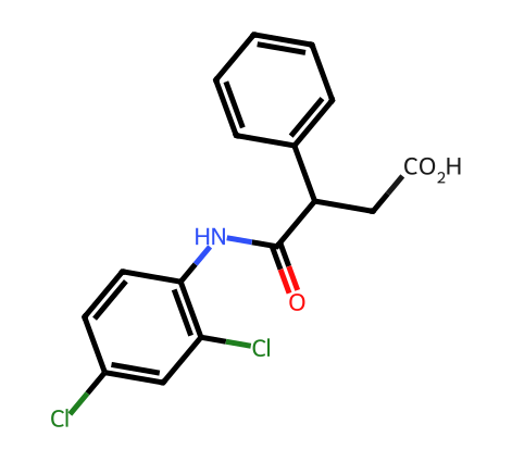 O=C(O)CC(C(=O)Nc1ccc(Cl)cc1Cl)c1ccccc1